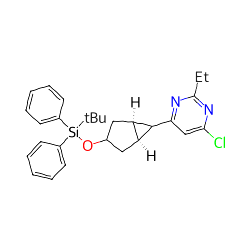 CCc1nc(Cl)cc(C2[C@H]3CC(O[Si](c4ccccc4)(c4ccccc4)C(C)(C)C)C[C@@H]23)n1